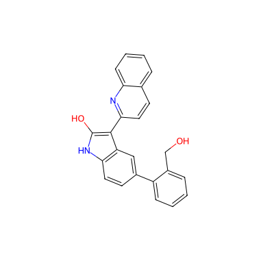 OCc1ccccc1-c1ccc2[nH]c(O)c(-c3ccc4ccccc4n3)c2c1